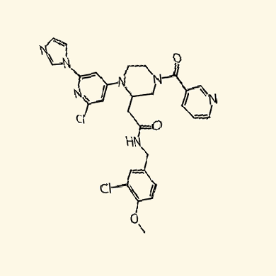 COc1ccc(CNC(=O)CC2CN(C(=O)c3cccnc3)CCN2c2cc(Cl)nc(-n3ccnc3)c2)cc1Cl